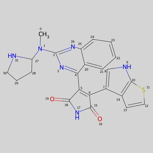 CN(c1nc(C2=C(c3c[nH]c4sccc34)C(=O)NC2=O)c2ccccc2n1)C1CCCN1